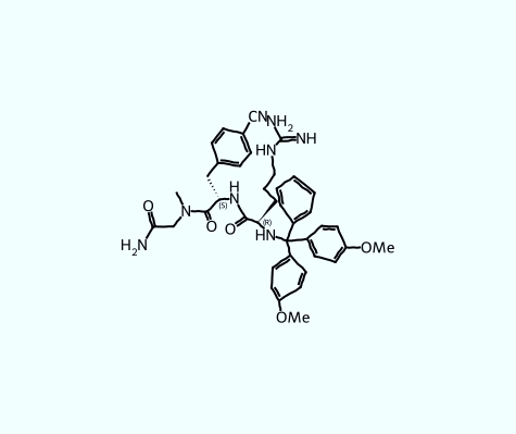 COc1ccc(C(N[C@H](CCCNC(=N)N)C(=O)N[C@@H](Cc2ccc(C#N)cc2)C(=O)N(C)CC(N)=O)(c2ccccc2)c2ccc(OC)cc2)cc1